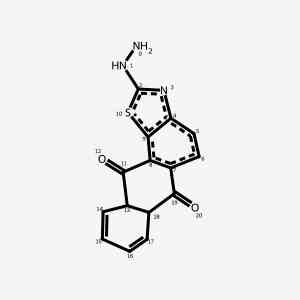 NNc1nc2ccc3c(c2s1)C(=O)C1C=CC=CC1C3=O